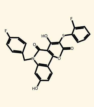 O=c1oc2c(c(O)c1Sc1ccccc1F)c(=O)n(Cc1ccc(F)cc1)c1cc(O)ccc21